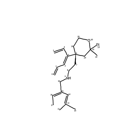 C=C/C=C(\C=C)[C@]1(CCNC/C(C=C(C)C)=C/C)CCOC(C)(CC)C1